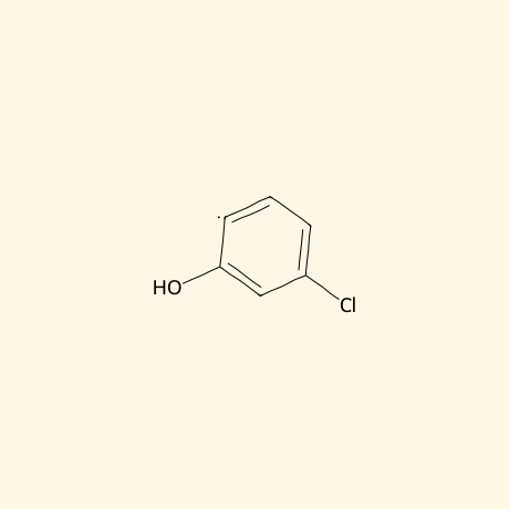 Oc1[c]ccc(Cl)c1